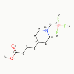 COC(=O)CCCC1CCN(C[B-](F)(F)F)CC1